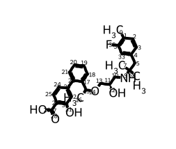 Cc1ccc(CC(C)(C)NC[C@@H](O)COC(C)c2ccccc2-c2ccc(C(=O)O)c(O)c2)cc1F